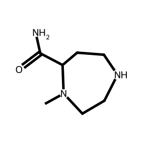 CN1CCNCCC1C(N)=O